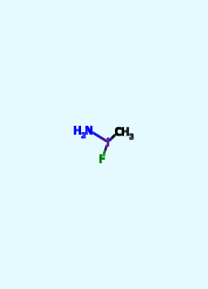 CI(N)F